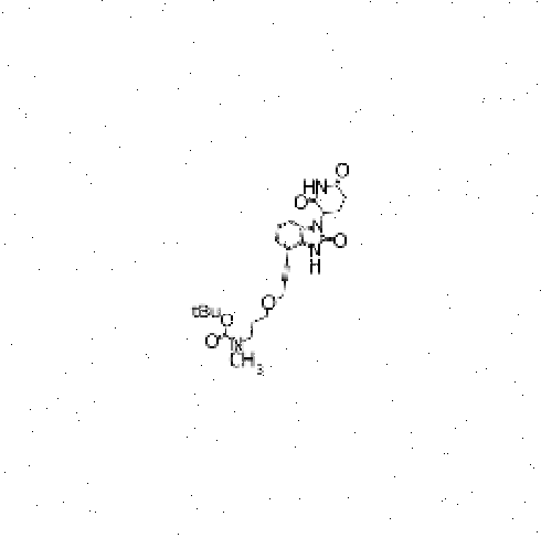 CN(CCCOCC#Cc1cccc2c1[nH]c(=O)n2C1CCC(=O)NC1=O)C(=O)OC(C)(C)C